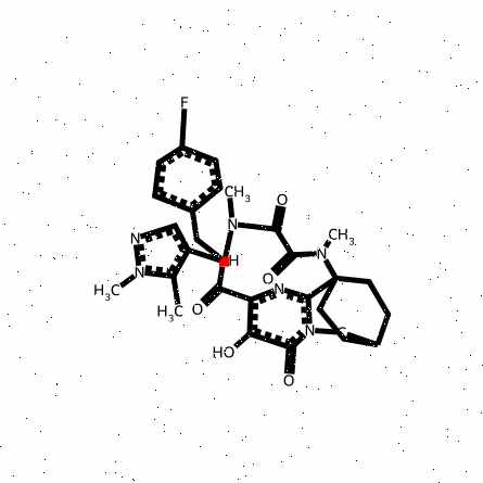 Cc1c(CN(C)C(=O)C(=O)N(C)C23CCC(CC2)Cn2c3nc(C(=O)NCc3ccc(F)cc3)c(O)c2=O)cnn1C